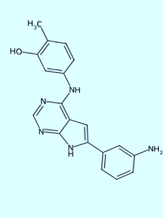 Cc1ccc(Nc2ncnc3[nH]c(-c4cccc(N)c4)cc23)cc1O